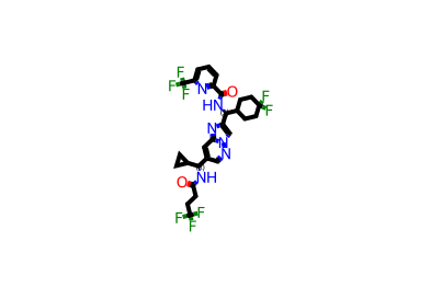 O=C(CCC(F)(F)F)N[C@@H](c1cnn2cc([C@@H](NC(=O)c3cccc(C(F)(F)F)n3)C3CCC(F)(F)CC3)nc2c1)C1CC1